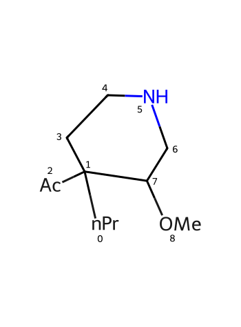 CCCC1(C(C)=O)CCNCC1OC